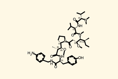 CC[C@H](C)[C@@H]([C@@H](CC(=O)N1CCC[C@H]1[C@H](OC)[C@@H](C)C(=O)N[C@@H](Cc1ccc(O)cc1)C(=O)NCc1ccc(N)cc1)OC)N(C)C(=O)[C@@H](NC(=O)[C@H](C(C)C)N(C)C)C(C)C